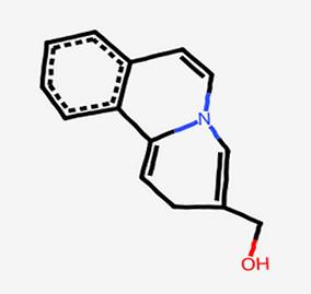 OCC1=CN2C=Cc3ccccc3C2=CC1